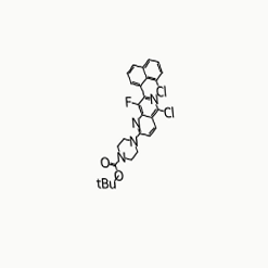 CC(C)(C)OC(=O)N1CCN(c2ccc3c(Cl)nc(-c4cccc5cccc(Cl)c45)c(F)c3n2)CC1